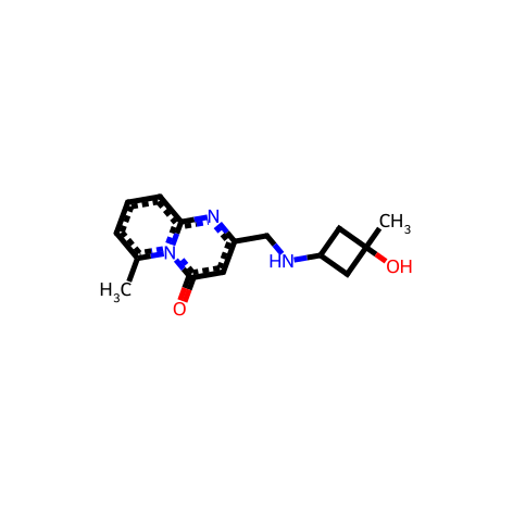 Cc1cccc2nc(CNC3CC(C)(O)C3)cc(=O)n12